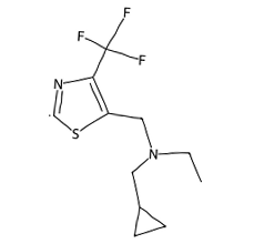 CCN(Cc1s[c]nc1C(F)(F)F)CC1CC1